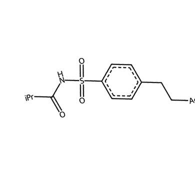 CC(=O)CCc1ccc(S(=O)(=O)NC(=O)C(C)C)cc1